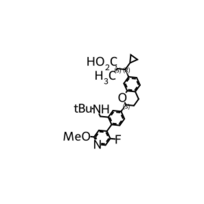 COc1cc(-c2ccc([C@@H]3CCc4ccc([C@H](C5CC5)[C@H](C)C(=O)O)cc4O3)cc2CNC(C)(C)C)c(F)cn1